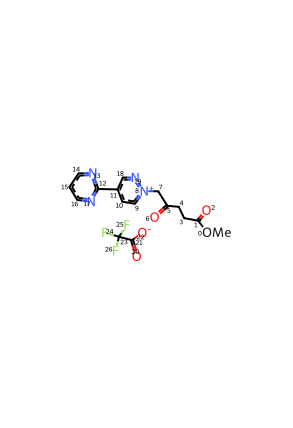 COC(=O)CCC(=O)C[n+]1ccc(-c2ncccn2)cn1.O=C([O-])C(F)(F)F